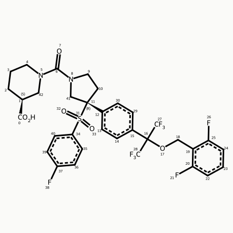 O=C(O)[C@H]1CCCN(C(=O)N2CC[C@](c3ccc(C(OCc4c(F)cccc4F)(C(F)(F)F)C(F)(F)F)cc3)(S(=O)(=O)c3ccc(F)cc3)C2)C1